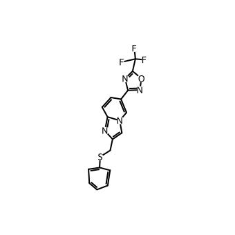 FC(F)(F)c1nc(-c2ccc3nc(CSc4ccccc4)cn3c2)no1